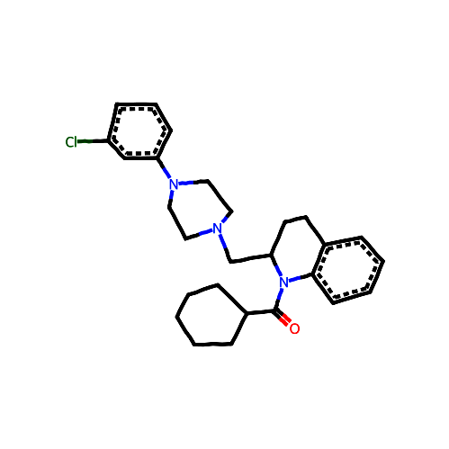 O=C(C1CCCCC1)N1c2ccccc2CCC1CN1CCN(c2cccc(Cl)c2)CC1